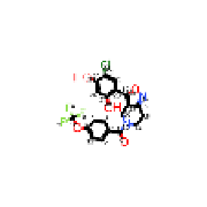 O=C(c1ccc(OC(F)(F)F)cc1)N1CCc2noc(-c3cc(Cl)c(O)cc3O)c2C1